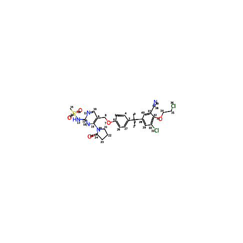 CC(C)(c1ccc(OCc2cnc(NS(C)(=O)=O)nc2N2CCCC2=O)cc1)c1cc(Cl)c(OCCCl)c(C#N)c1